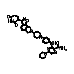 NC(=O)c1ncc(N2CCCCC2)nc1Nc1ccc(N2CCC(N3Cc4ccc5c(C6CCC(=O)NC6=O)noc5c4C3)CC2)cc1